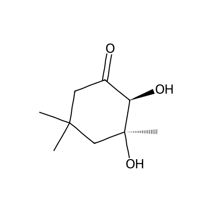 CC1(C)CC(=O)[C@@H](O)[C@@](C)(O)C1